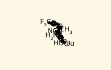 Cc1nn(Cc2ccc(CC(F)(F)F)cc2)cc1-c1nn(C2CCN(C(O)OC(C)(C)C)CC2)c(N)c1C#N